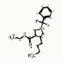 CCCCC1CN(C(F)(I)c2ccccc2)CC1C(=O)OCC